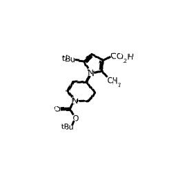 Cc1c(C(=O)O)cc(C(C)(C)C)n1C1CCN(C(=O)OC(C)(C)C)CC1